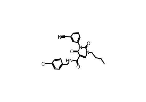 CCCCn1cc(C(=O)NCc2ccc(Cl)cc2)c(=O)n(-c2cccc(C#N)c2)c1=O